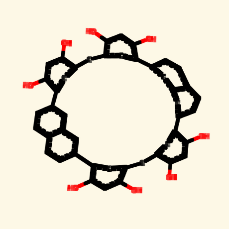 Oc1cc(O)c2cc1Cc1cc(c(O)cc1O)-c1ccc3ccc(cc3c1)-c1cc(c(O)cc1O)Cc1cc(c(O)cc1O)-c1ccc3ccc-2cc3c1